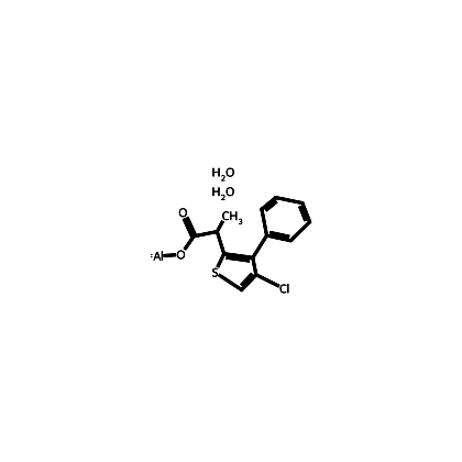 CC(C(=O)[O][Al])c1scc(Cl)c1-c1ccccc1.O.O